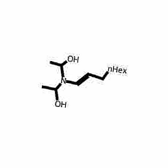 CCCCCCCC=CN(C(C)O)C(C)O